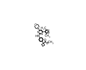 COC(=O)C1(c2ccc(Nc3nc(-c4c(C)noc4C)cc(N4CCOCC4)n3)cc2)CCC1